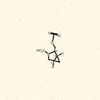 O=C(Cl)OC[C@H]1[C@@H]2C[C@@H]2CN1C(=O)O